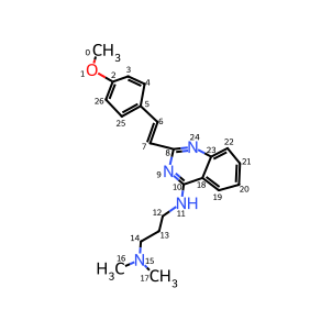 COc1ccc(C=Cc2nc(NCCCN(C)C)c3ccccc3n2)cc1